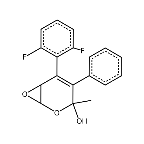 CC1(O)OC2OC2C(c2c(F)cccc2F)=C1c1ccccc1